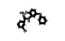 CC(=O)c1cccc(C(=O)Nc2cc(Oc3ccccc3)ccc2C(=O)O)c1